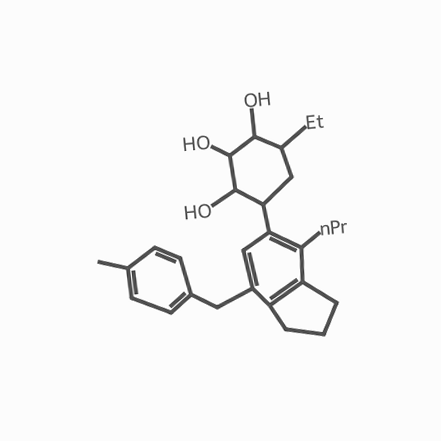 CCCc1c(C2CC(CC)C(O)C(O)C2O)cc(Cc2ccc(C)cc2)c2c1CCC2